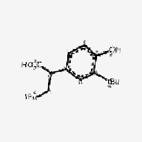 CC(C)(C)CC(C(=O)O)c1ccc(O)c(C(C)(C)C)c1